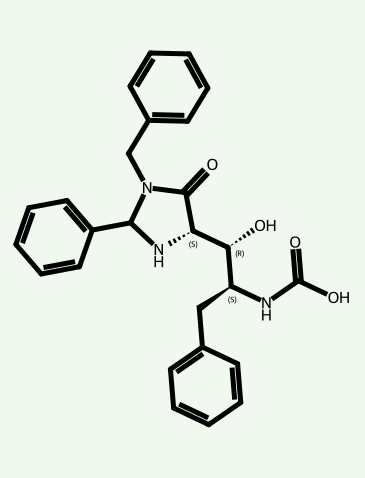 O=C(O)N[C@@H](Cc1ccccc1)[C@@H](O)[C@@H]1NC(c2ccccc2)N(Cc2ccccc2)C1=O